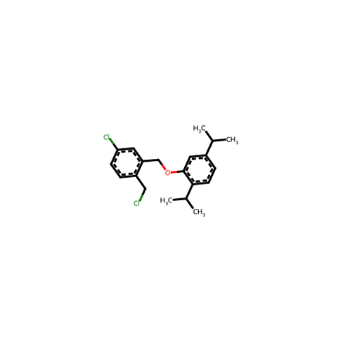 CC(C)c1ccc(C(C)C)c(OCc2cc(Cl)ccc2CCl)c1